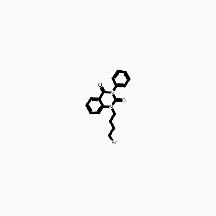 O=c1c2ccccc2n(CCCCBr)c(=O)n1-c1ccccc1